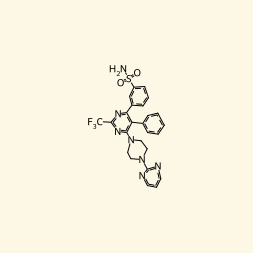 NS(=O)(=O)c1cccc(-c2nc(C(F)(F)F)nc(N3CCN(c4ncccn4)CC3)c2-c2ccccc2)c1